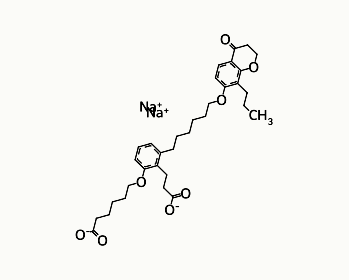 CCCc1c(OCCCCCCc2cccc(OCCCCCC(=O)[O-])c2CCC(=O)[O-])ccc2c1OCCC2=O.[Na+].[Na+]